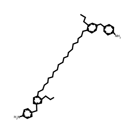 CCCc1cc(Cc2ccc(N)cc2)ccc1CCCCCCCCCCCCCCCCCCCc1ccc(Cc2ccc(N)cc2)cc1CCC